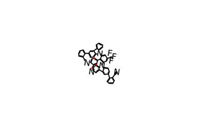 N#Cc1cccc(-c2c(-n3c4ccccc4c4cc(-c5ccccc5C#N)ccc43)cc(C(F)(F)F)cc2-n2c3ccccc3c3cc(-c4ccccc4C#N)ccc32)c1